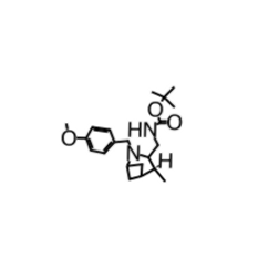 COc1ccc(CN2C3CC(C3)[C@H](C)C2CNC(=O)OC(C)(C)C)cc1